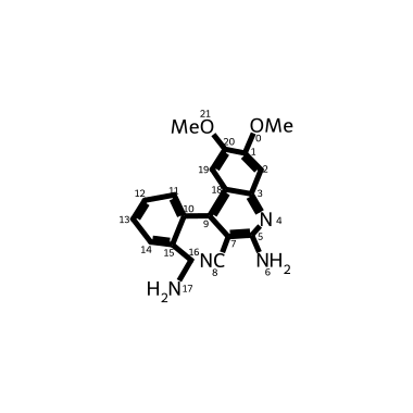 COc1cc2nc(N)c(C#N)c(-c3ccccc3CN)c2cc1OC